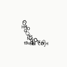 CN1CCC[C@H]1CN(C(=O)O)c1ccc(-c2cnc(N3CCC(OC(=O)NCc4ccccc4)CC3)s2)c(S(=O)(=O)NC(C)(C)C)c1